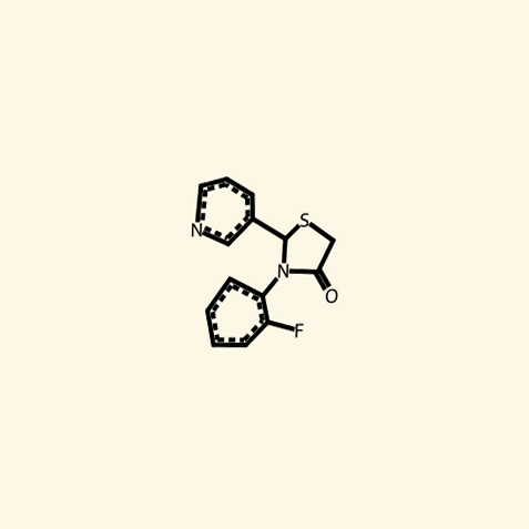 O=C1CSC(c2cccnc2)N1c1ccccc1F